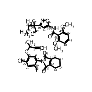 C#CC(C)Oc1cc(N2C(=O)C3=C(CCCC3)C2=O)c(F)cc1Cl.CCC(C)(CC)c1cc(NC(=O)c2c(OC)cccc2OC)on1